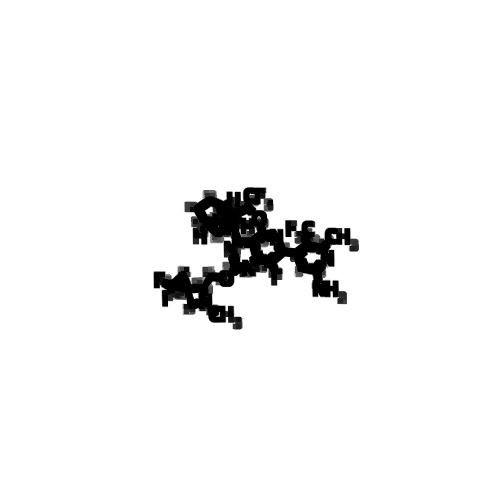 Cc1nc(N)cc(-c2nc3c4c(nc(OC[C@H]5N(C)C[C@@]56CC6(F)F)nc4c2F)N2C[C@H]4CC[C@H](N4)[C@H]2C(C(F)(F)F)O3)c1C(F)(F)F